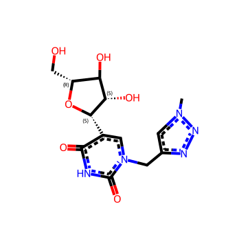 Cn1cc(Cn2cc([C@@H]3O[C@H](CO)C(O)[C@@H]3O)c(=O)[nH]c2=O)nn1